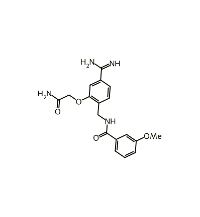 COc1cccc(C(=O)NCc2ccc(C(=N)N)cc2OCC(N)=O)c1